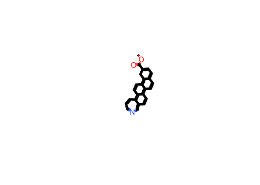 COC(=O)C1=CC=c2ccc3c(ccc4c5c(ccc43)=CN=CC=C5)c2C1